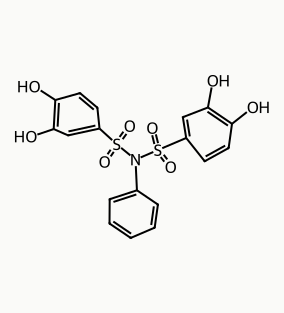 O=S(=O)(c1ccc(O)c(O)c1)N(c1ccccc1)S(=O)(=O)c1ccc(O)c(O)c1